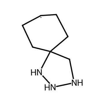 [CH]1CCC2(CC1)CNNN2